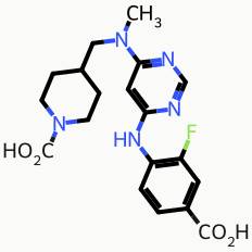 CN(CC1CCN(C(=O)O)CC1)c1cc(Nc2ccc(C(=O)O)cc2F)ncn1